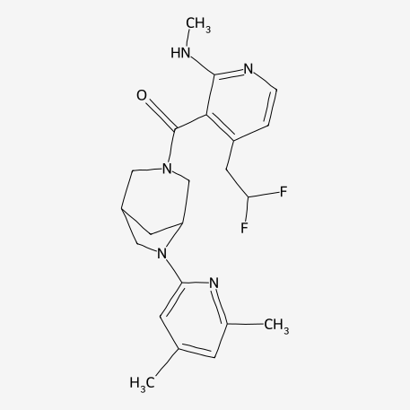 CNc1nccc(CC(F)F)c1C(=O)N1CC2CC(C1)N(c1cc(C)cc(C)n1)C2